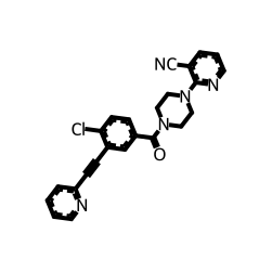 N#Cc1cccnc1N1CCN(C(=O)c2ccc(Cl)c(C#Cc3ccccn3)c2)CC1